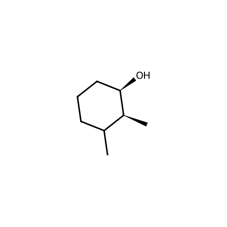 CC1CCC[C@@H](O)[C@H]1C